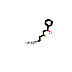 CCCCCCCCCC(F)CC(=O)c1ccccc1